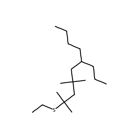 CCCCC(CCC)CC(C)(C)CC(C)(C)SCC